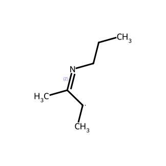 C[CH]/C(C)=N\CCC